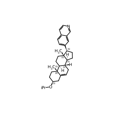 CC(C)O[C@H]1CC[C@@]2(C)C(=CC[C@H]3[C@@H]4CC[C@H](c5ccc6ccncc6c5)[C@@]4(C)CC[C@@H]32)C1